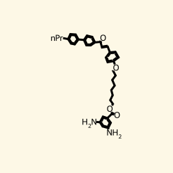 CCCc1ccc(-c2ccc(C(=O)/C=C/c3ccc(OCCCCCCCCOC(=O)c4cc(N)cc(N)c4)cc3)cc2)cc1